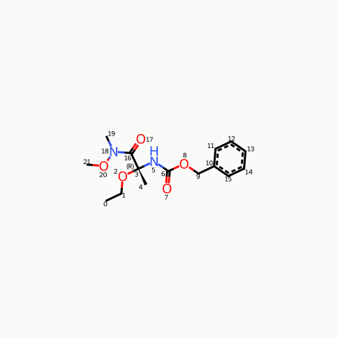 CCO[C@@](C)(NC(=O)OCc1ccccc1)C(=O)N(C)OC